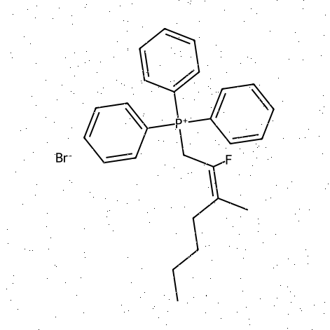 CCCCC(C)=C(F)C[P+](c1ccccc1)(c1ccccc1)c1ccccc1.[Br-]